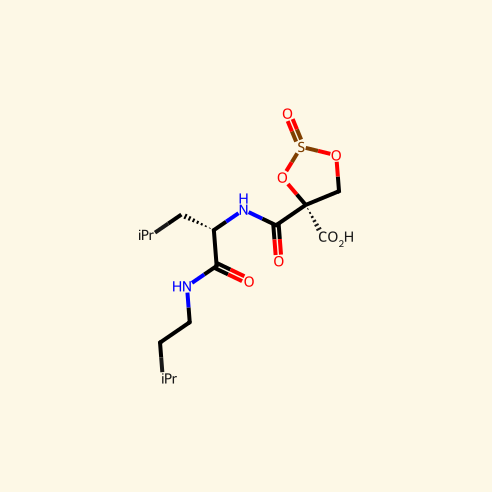 CC(C)CCNC(=O)[C@H](CC(C)C)NC(=O)[C@]1(C(=O)O)COS(=O)O1